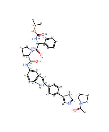 CC(=O)N1CCC[C@H]1c1ncc(-c2ccc(-c3cc4cc(NC(=O)[C@@H]5CCCN5C(=O)[C@H](NC(=O)OC(C)C)c5ccccc5)ccc4[nH]3)cc2)[nH]1